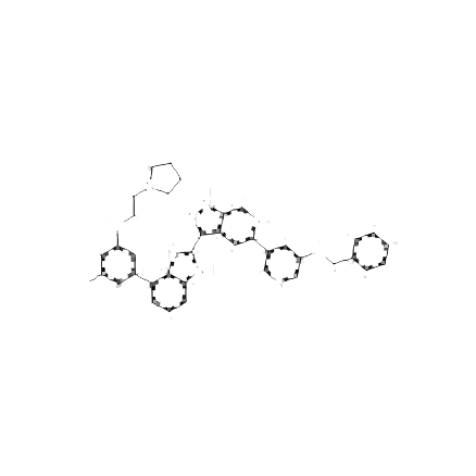 Fc1cc(OCCN2CCCC2)cc(-c2cccc3[nH]c(-c4n[nH]c5cnc(-c6cncc(OCc7ccccc7)c6)cc45)nc23)c1